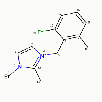 CCn1cc[n+](Cc2c(C)cccc2F)c1C